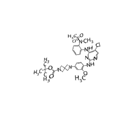 COc1cc(N2CC3(CN(C(=O)OC(C)(C)C)C3)C2)ccc1Nc1ncc(Cl)c(Nc2ccccc2N(C)S(C)(=O)=O)n1